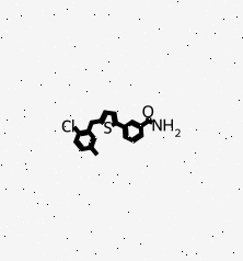 Cc1ccc(Cl)c(Cc2ccc(-c3cccc(C(N)=O)c3)s2)c1